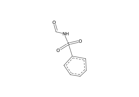 O=CNS(=O)(=O)c1ccccc1